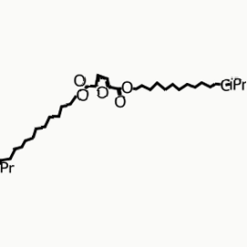 CC(C)CCCCCCCCCCCCCOC(=O)c1ccc(C(=O)OCCCCCCCCCCCCCC(C)C)o1